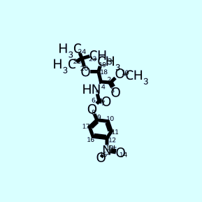 COC(=O)[C@H](NC(=O)Oc1ccc([N+](=O)[O-])cc1)C(C)OC(C)(C)C